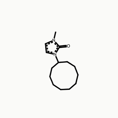 Cn1ccn(C2CCCCCCCCC2)c1=O